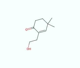 CC1(C)C=C(CCO)C(=O)CC1